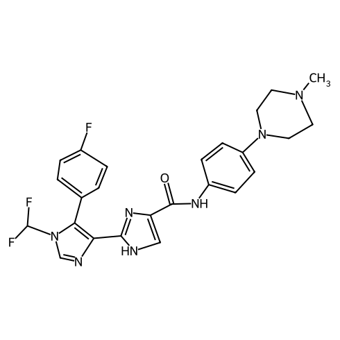 CN1CCN(c2ccc(NC(=O)c3c[nH]c(-c4ncn(C(F)F)c4-c4ccc(F)cc4)n3)cc2)CC1